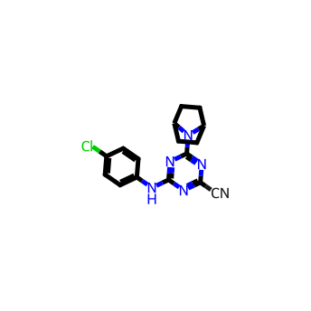 N#Cc1nc(Nc2ccc(Cl)cc2)nc(N2C3CCC2CC3)n1